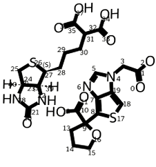 O=C(O)Cn1cnc2c(C3(C(=O)O)CCCO3)scc21.O=C1N[C@H]2[C@H](CS[C@H]2CCCC(C(=O)O)C(=O)O)N1